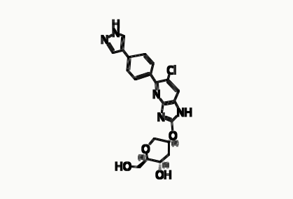 OC[C@H]1OC[C@H](Oc2nc3nc(-c4ccc(-c5cn[nH]c5)cc4)c(Cl)cc3[nH]2)C[C@@H]1O